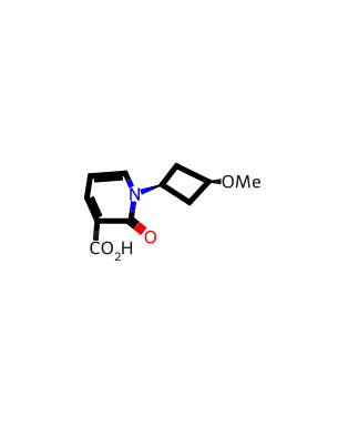 CO[C@H]1C[C@@H](n2cccc(C(=O)O)c2=O)C1